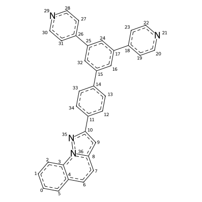 c1ccc2c(c1)ccc1cc(-c3ccc(-c4cc(-c5ccncc5)cc(-c5ccncc5)c4)cc3)nn12